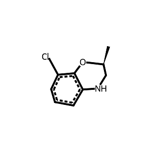 C[C@H]1CNc2cccc(Cl)c2O1